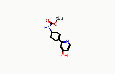 CC(C)(C)OC(=O)NC1CC=C(c2cc(O)ccn2)CC1